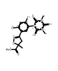 COC(=O)C1(C)CC(c2cc(-n3c(=O)n(C)c(=S)n(C)c3=O)c(F)cc2Cl)=NO1